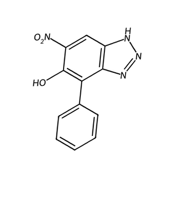 O=[N+]([O-])c1cc2[nH]nnc2c(-c2ccccc2)c1O